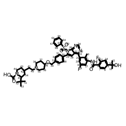 Cc1c(NC(=O)c2ccc(C(C)(C)O)cc2F)cc(F)cc1-c1ncnc2c1cc(-c1ccc(COC3CCN(CCC4CCN(C(=O)O)C(C(C)(C)C)C4)CC3)cc1)n2S(=O)(=O)c1ccccc1